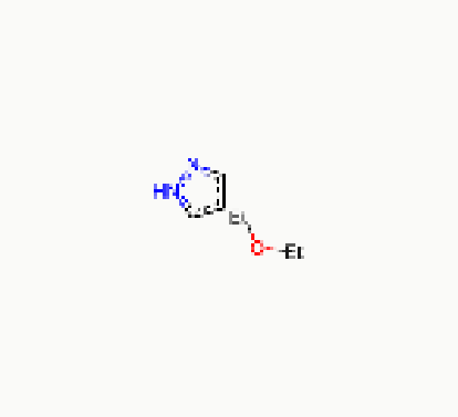 CCOCC.c1cn[nH]c1